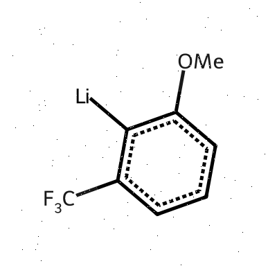 [Li][c]1c(OC)cccc1C(F)(F)F